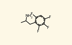 CC(N)Cc1c(F)cc(F)c(F)c1F